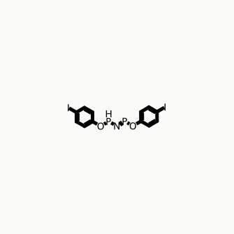 Ic1ccc(OP=NPOc2ccc(I)cc2)cc1